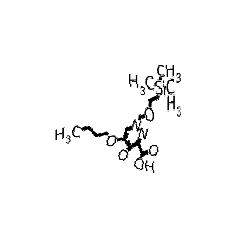 CCCCOc1cn(COCC[Si](C)(C)C)nc(C(=O)O)c1=O